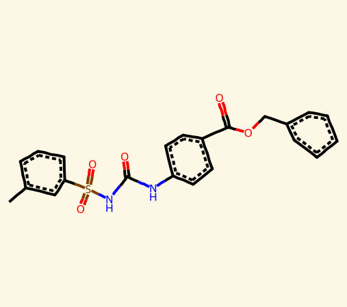 Cc1cccc(S(=O)(=O)NC(=O)Nc2ccc(C(=O)OCc3ccccc3)cc2)c1